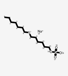 CCCCCCCSCCCCCCOS(=O)(=O)[O-].[Na+]